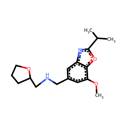 COc1cc(CNCC2CCCO2)cc2nc(C(C)C)oc12